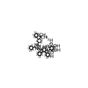 CC1(C)C2=C(C=C(c3nc(-c4ccccc4)nc(-n4c5ccccc5c5c6c7ccccc7n(-c7c(O)c(O)c(O)c(O)c7O)c6ccc54)n3)CC2)c2ccccc21